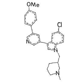 COc1ccc(-c2cncc(-c3cn(CC4CCCN(C)C4)c4ccc(Cl)cc34)c2)cc1